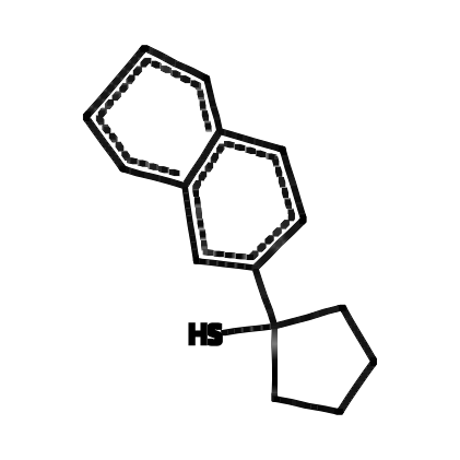 SC1(c2ccc3ccccc3c2)CCCC1